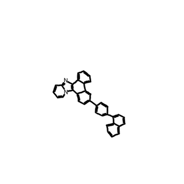 c1ccc2c(-c3ccc(-c4ccc5c(c4)c4ccccc4c4nc6ccccn6c54)cc3)cccc2c1